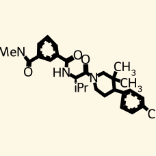 CNC(=O)c1cccc(C(=O)N[C@@H](C(=O)N2CCC(c3ccc(Cl)cc3)C(C)(C)C2)C(C)C)c1